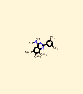 CCCN(CCC)c1nc(-c2cc(C(F)(F)F)cc(C(F)(F)F)c2)nc2c(OC)c(OC)c(OC)cc12